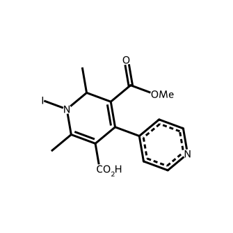 COC(=O)C1=C(c2ccncc2)C(C(=O)O)=C(C)N(I)C1C